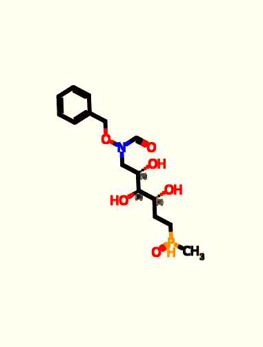 C[PH](=O)CC[C@@H](O)[C@@H](O)[C@@H](O)CN(C=O)OCc1ccccc1